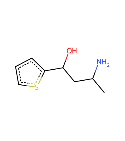 CC(N)CC(O)c1cccs1